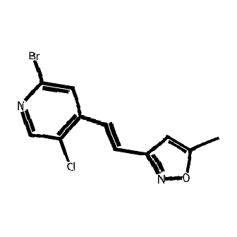 Cc1cc(C=Cc2cc(Br)ncc2Cl)no1